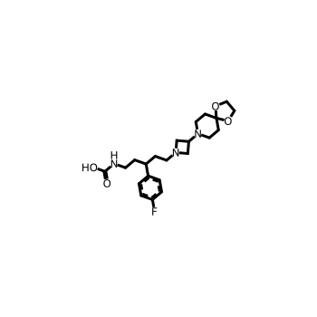 O=C(O)NCCC(CCN1CC(N2CCC3(CC2)OCCO3)C1)c1ccc(F)cc1